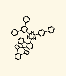 c1ccc(-c2ccc(-c3nc(-c4cc(-c5ccccc5)cc(-c5ccccc5)c4)nc(-c4cccc5c4-c4ccccc4C54c5ccccc5-c5ccccc5-c5ccccc54)n3)cc2)cc1